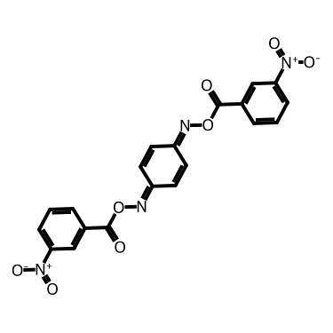 O=C(ON=C1C=CC(=NOC(=O)c2cccc([N+](=O)[O-])c2)C=C1)c1cccc([N+](=O)[O-])c1